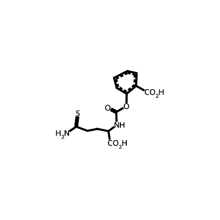 NC(=S)CCC(NC(=O)Oc1ccccc1C(=O)O)C(=O)O